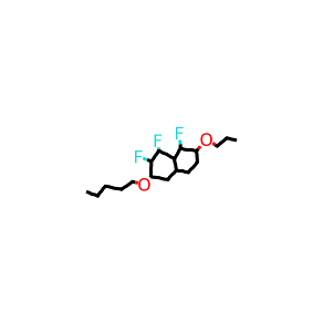 CCCCCOC1CC2CCC(OCCC)C(F)C2C(F)C1F